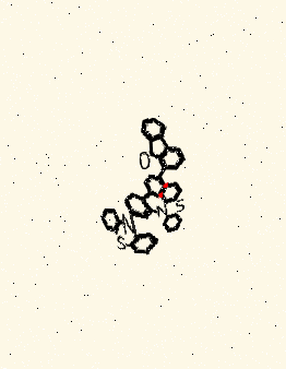 O=C1c2ccccc2-c2cccc(-c3ccc(-c4ccc(N5c6ccccc6Sc6ccccc65)cc4N4c5ccccc5Sc5ccccc54)cc3)c21